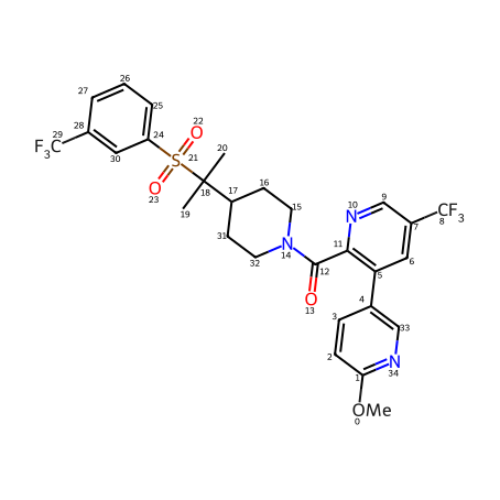 COc1ccc(-c2cc(C(F)(F)F)cnc2C(=O)N2CCC(C(C)(C)S(=O)(=O)c3cccc(C(F)(F)F)c3)CC2)cn1